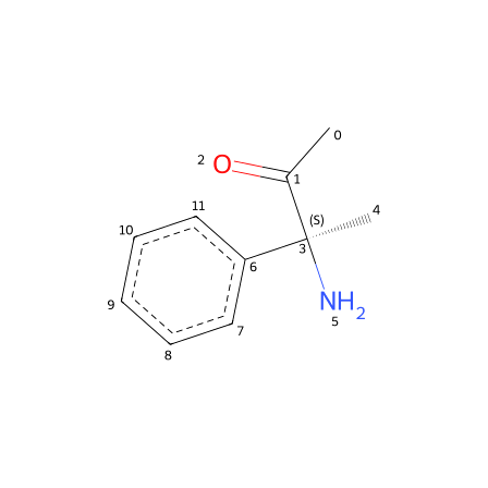 CC(=O)[C@@](C)(N)c1ccccc1